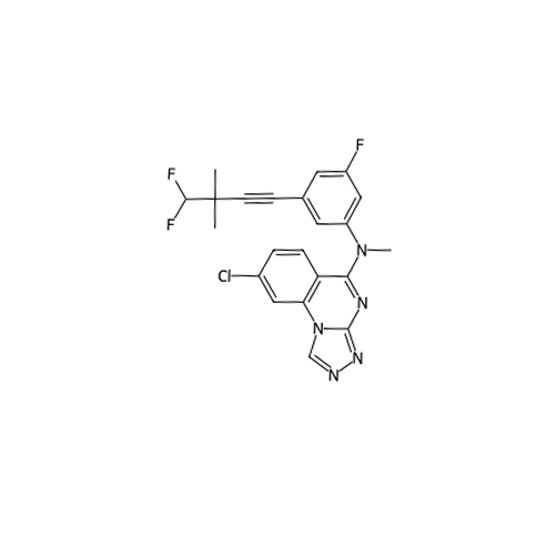 CN(c1cc(F)cc(C#CC(C)(C)C(F)F)c1)c1nc2nncn2c2cc(Cl)ccc12